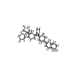 c1ccc2c(c1)-c1ccc(Nc3ccc(-c4ccc5ccccc5c4)cc3)cc1C21CCCC1